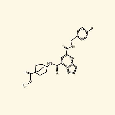 COC(=O)C12CCC(NC(=O)c3cc(C(=O)NCc4ccc(F)cc4)nc4ccnn34)(CC1)CC2